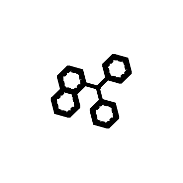 c1ccc([C](c2ccccc2)c2cccc3ccccc23)cc1